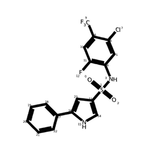 O=S(=O)(Nc1cc(Cl)c(C(F)(F)F)cc1F)c1c[nH]c(-c2ccccc2)c1